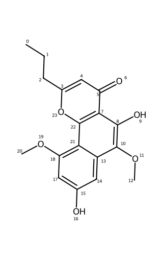 CCCc1cc(=O)c2c(O)c(OC)c3cc(O)cc(OC)c3c2o1